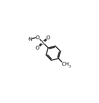 Cc1ccc(S(=O)(=O)O[N])cc1